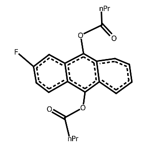 CCCC(=O)Oc1c2ccccc2c(OC(=O)CCC)c2cc(F)ccc12